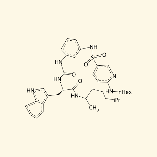 CCCCCCNc1ccc(S(=O)(=O)Nc2cccc(NC(=O)N[C@H](Cc3c[nH]c4ccccc34)C(=O)NC(C)CCCC(C)C)c2)cn1